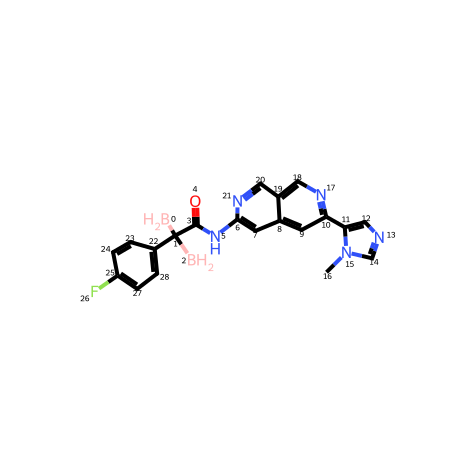 BC(B)(C(=O)Nc1cc2cc(-c3cncn3C)ncc2cn1)c1ccc(F)cc1